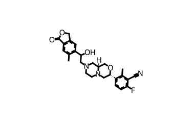 Cc1cc2c(cc1C(O)CN1CCN3C[C@@H](c4ccc(F)c(C#N)c4C)OC[C@@H]3C1)COC2=O